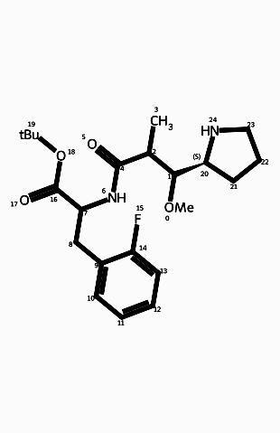 COC(C(C)C(=O)NC(Cc1ccccc1F)C(=O)OC(C)(C)C)[C@@H]1CCCN1